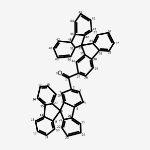 O=C(c1ccc2c(c1)C1(c3ccccc3-c3ccccc31)c1ccccc1-2)c1ccc2c(c1)C1(c3ccccc3-2)c2ccccc2C2C=CC=CC21